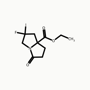 CCOC(=O)C12CCC(=O)N1CC(F)(I)C2